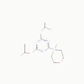 CC(C)Oc1nc(OC(C)C)nc([N+]2(C)CCOCC2)n1.[Cl-]